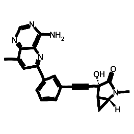 Cc1cc(-c2cccc(C#C[C@@]3(O)C(=O)N(C)[C@@H]4CC43)c2)nc2c(N)ncnc12